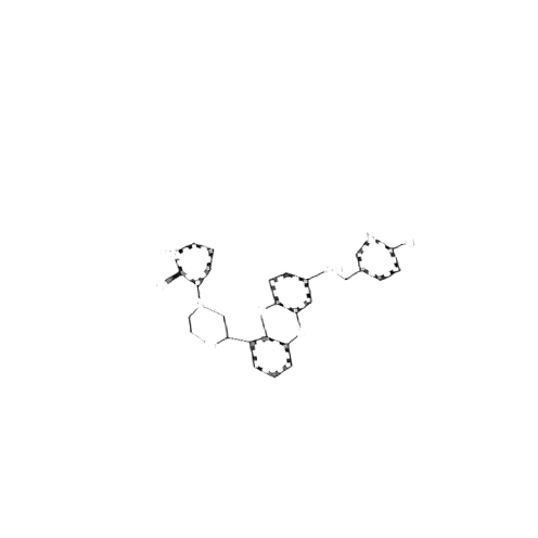 O=c1[nH]cccc1N1CCOC(c2cccc3c2Oc2ccc(NCc4ccc(Cl)nc4)cc2S3)C1